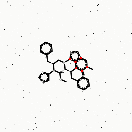 COC(=O)N(c1cncs1)[C@@H](Cc1ccccc1)CN(Cc1ccncc1)C[C@H](Cc1ccccc1)N(C(=O)OC)c1cncs1